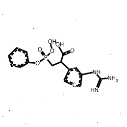 N=C(N)Nc1cccc(C(CP(=O)(OO)Oc2ccccc2)C(=O)O)c1